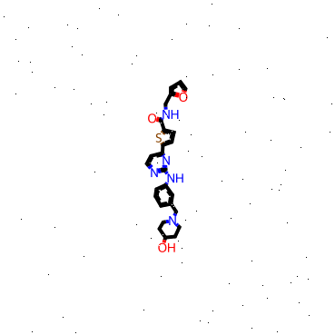 O=C(NCc1ccco1)c1ccc(-c2ccnc(Nc3cccc(CN4CCC(O)CC4)c3)n2)s1